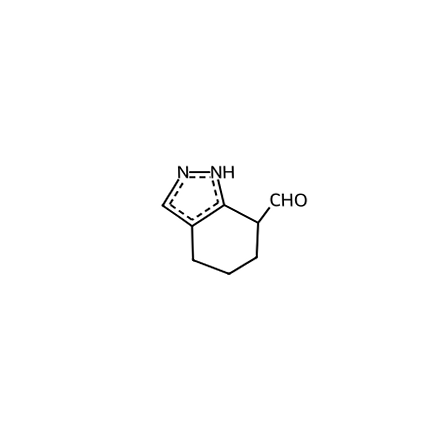 O=CC1CCCc2cn[nH]c21